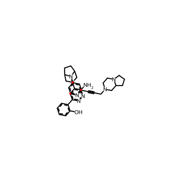 Nc1nnc(-c2ccccc2O)cc1N1CC2CCC(C1)N2c1ccnc(C#CCN2CCN3CCCC3C2)c1